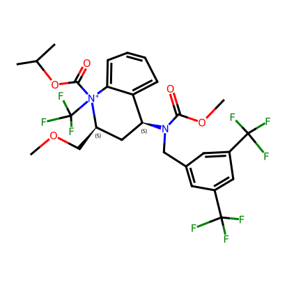 COC[C@@H]1C[C@H](N(Cc2cc(C(F)(F)F)cc(C(F)(F)F)c2)C(=O)OC)c2ccccc2[N+]1(C(=O)OC(C)C)C(F)(F)F